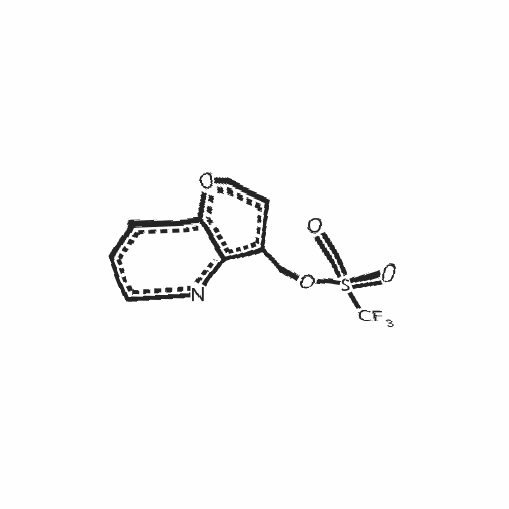 O=S(=O)(Oc1coc2cccnc12)C(F)(F)F